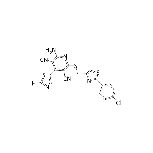 [C-]#[N+]c1c(N)nc(SCc2csc(-c3ccc(Cl)cc3)n2)c(C#N)c1-c1cnc(I)s1